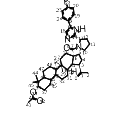 C=C(C)[C@@H]1CC[C@]2(C(=O)N3CCC[C@H]3c3ncc(-c4ccc(F)cc4)[nH]3)CC[C@]3(C)[C@H](CCC4[C@@]5(C)CC[C@H](OC(C)=O)C(C)(C)C5CC[C@]43C)C12